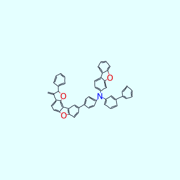 C=C1c2ccc3oc4ccc(-c5ccc(N(c6cccc(-c7ccccc7)c6)c6ccc7c(c6)oc6ccccc67)cc5)cc4c3c2OC1c1ccccc1